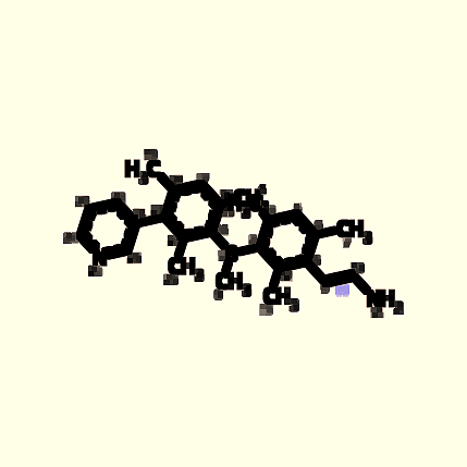 CB(c1c(C)cc(C)c(/C=C/N)c1C)c1c(C)cc(C)c(-c2cccnc2)c1C